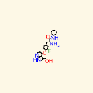 NC(Cc1ccc(Oc2ccnc3[nH]cc(CO)c23)c(F)c1)C(=O)NC1CCCCC1